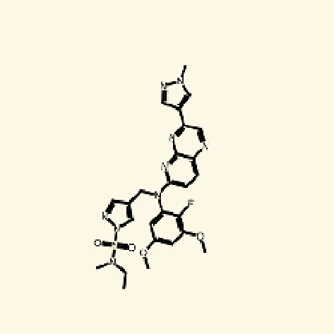 CCN(C)S(=O)(=O)n1cc(CN(c2ccc3ncc(-c4cnn(C)c4)nc3n2)c2cc(OC)cc(OC)c2F)cn1